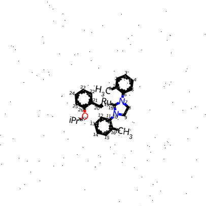 Cc1ccccc1N1CCN(c2ccccc2C)[CH]1[Ru]=[CH]c1ccccc1OC(C)C